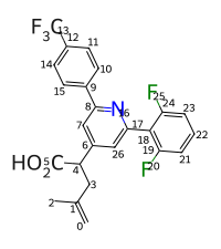 C=C(C)CC(C(=O)O)c1cc(-c2ccc(C(F)(F)F)cc2)nc(-c2c(F)cccc2F)c1